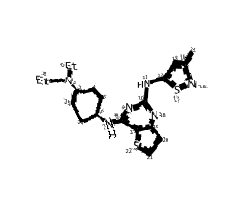 CCN(CC)[C@H]1CC[C@@H](Nc2nc(Nc3cc(C)ns3)nc3ccsc23)CC1